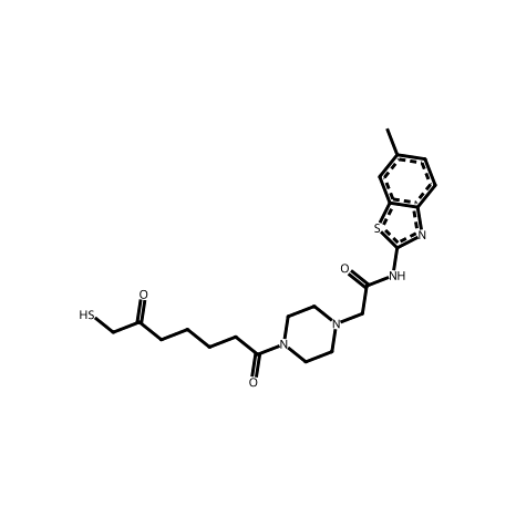 Cc1ccc2nc(NC(=O)CN3CCN(C(=O)CCCCC(=O)CS)CC3)sc2c1